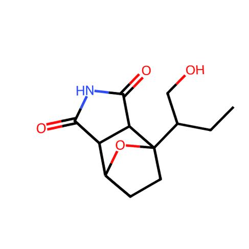 CCC(CO)C12CCC(O1)C1C(=O)NC(=O)C12